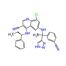 BC(Nc1cc(Cl)c2ncc(C#N)c(N[C@H](CC)c3ccccc3)c2c1)(c1cccc(C#N)c1)c1c[nH]nn1